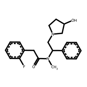 CN(C(=O)Cc1ccccc1F)C(CN1CCC(O)C1)c1ccccc1